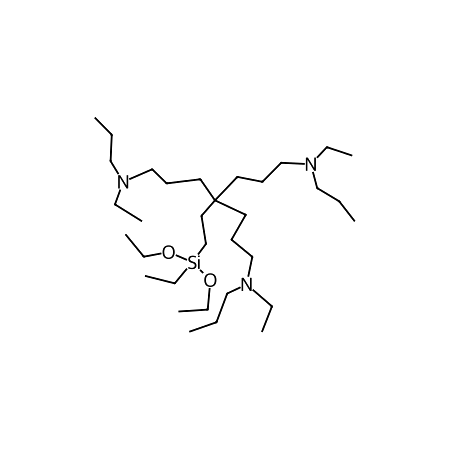 CCCN(CC)CCCC(CCCN(CC)CCC)(CCCN(CC)CCC)CC[Si](CC)(OCC)OCC